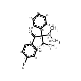 CC(C)C(C(=O)c1ccc(F)cc1)(c1ccccc1)N(C)C